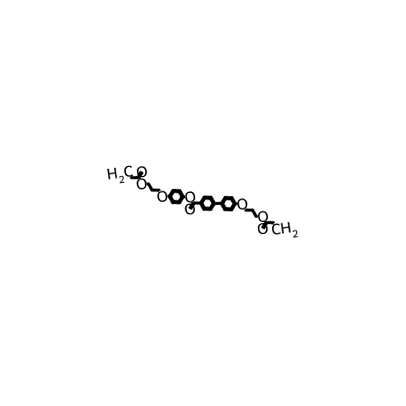 C=CC(=O)OCCCOc1ccc(OC(=O)c2ccc(-c3ccc(OCCCOC(=O)C=C)cc3)cc2)cc1